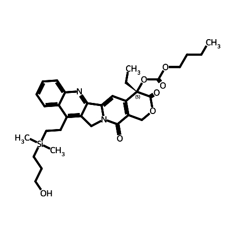 CCCCOC(=O)O[C@]1(CC)C(=O)OCc2c1cc1n(c2=O)Cc2c-1nc1ccccc1c2CC[Si](C)(C)CCCO